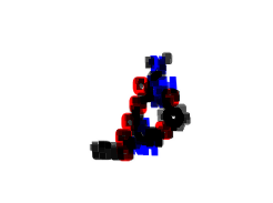 CN(C)CCNC(=O)[C@@H]1COCC(=O)N2C[C@@H](NC(=O)OC(C)(C)C)C[C@H]2COc2cccc(c2)C(=O)N1C